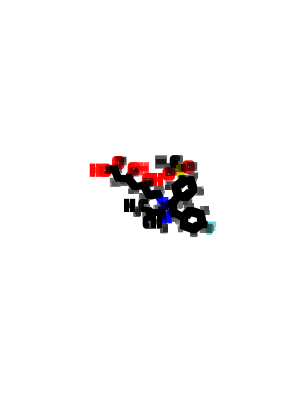 CC(C)c1nc(-c2ccc(F)cc2)c(-c2cccc(S(C)(=O)=O)c2)n1C=CC(O)CC(O)CC(=O)O